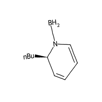 BN1C=CC=C[C@H]1CCCC